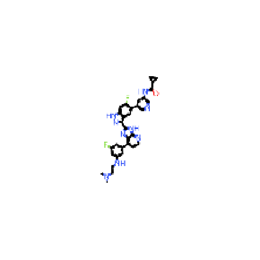 CN(C)CCNc1cc(F)cc(-c2ccnc3[nH]c(-c4n[nH]c5cc(F)c(-c6cncc(NC(=O)C7CC7)c6)cc45)nc23)c1